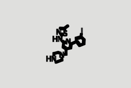 Cc1cnc(Nc2cc(CN3CCNCC3)cc(-c3cccc(I)c3)n2)s1